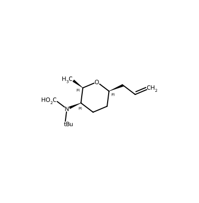 C=CC[C@H]1CC[C@@H](N(C(=O)O)C(C)(C)C)[C@@H](C)O1